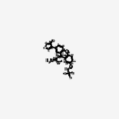 Cc1cscc1-c1ccc2c(c1)[C@@]1(COC(N)=N1)c1cc(OCC(C)(C)C)ccc1O2